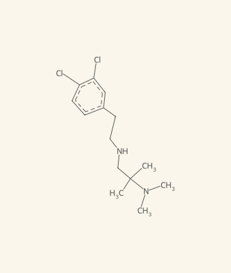 CN(C)C(C)(C)CNCCc1ccc(Cl)c(Cl)c1